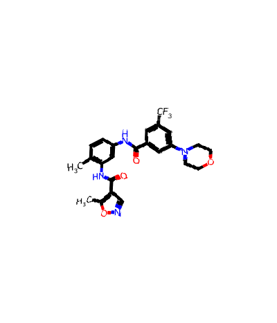 Cc1ccc(NC(=O)c2cc(N3CCOCC3)cc(C(F)(F)F)c2)cc1NC(=O)c1cnoc1C